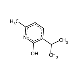 Cc1ccc(C(C)C)c(O)n1